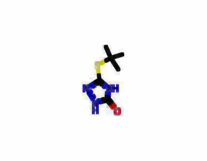 CC(C)(C)Sc1n[nH]c(=O)[nH]1